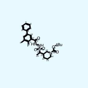 Cc1cc(-c2ccccc2)cc(C(=O)NNS(=O)(=O)C(C)C2CCCN(C(=O)OC(C)(C)C)C2)c1F